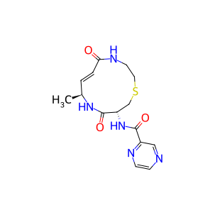 C[C@H]1/C=C/C(=O)NCCSC[C@H](NC(=O)c2cnccn2)C(=O)N1